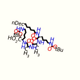 CCCCCCCCCCCCCCCC(=O)N[C@@H](CCCCNC(=O)OC(C)(C)C)C(=O)N[C@@H](C)C(=O)N[C@@H](C)C(=O)N[C@@H](CCCCNC(=O)OC(C)(C)C)C(=O)O